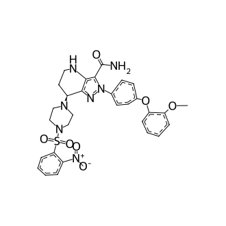 COc1ccccc1Oc1ccc(-n2nc3c(c2C(N)=O)NCC[C@@H]3N2CCN(S(=O)(=O)c3ccccc3[N+](=O)[O-])CC2)cc1